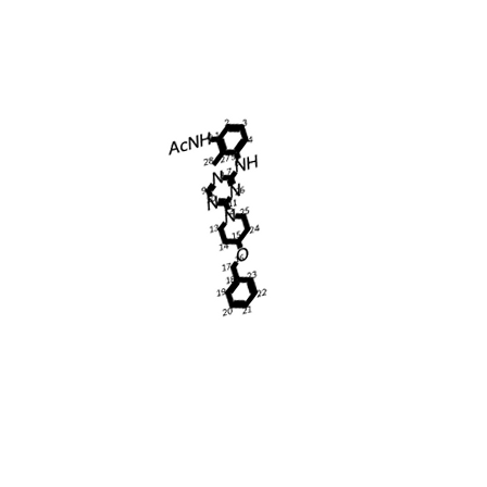 CC(=O)Nc1cccc(Nc2ncnc(N3CCC(OCc4ccccc4)CC3)n2)c1C